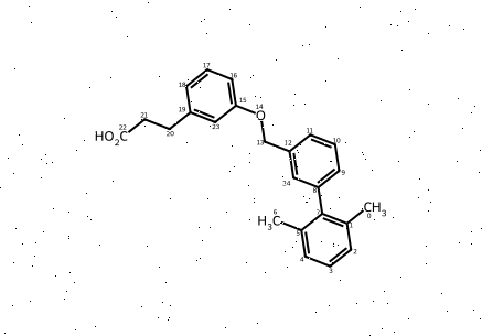 Cc1cccc(C)c1-c1cccc(COc2cccc(CCC(=O)O)c2)c1